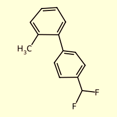 Cc1ccccc1-c1ccc(C(F)F)cc1